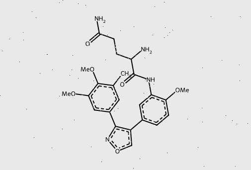 COc1ccc(-c2conc2-c2cc(C)c(OC)c(OC)c2)cc1NC(=O)C(N)CCC(N)=O